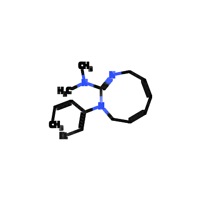 C/C=C\C(=C/CC)N1C/C=C\C=C/C/N=C\1N(C)C